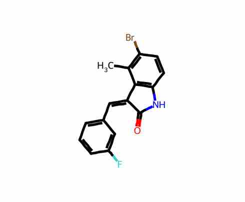 Cc1c(Br)ccc2c1C(=Cc1cccc(F)c1)C(=O)N2